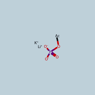 CC(=O)OP(=O)([O-])[O-].[K+].[Li+]